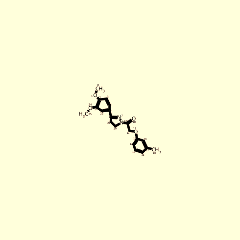 COc1ccc(C2=NN(C(=O)COc3cccc(C)c3)CC2)cc1OC